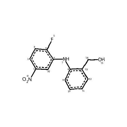 O=[N+]([O-])c1ccc(F)c(Nc2ccccc2CO)c1